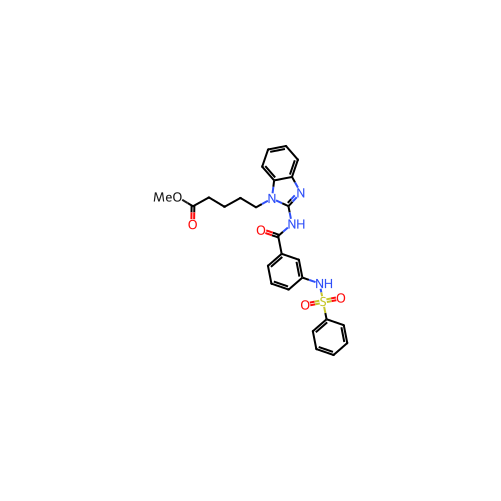 COC(=O)CCCCn1c(NC(=O)c2cccc(NS(=O)(=O)c3ccccc3)c2)nc2ccccc21